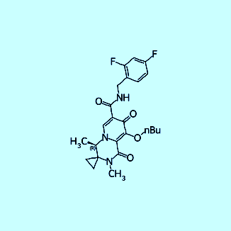 CCCCOc1c2n(cc(C(=O)NCc3ccc(F)cc3F)c1=O)[C@H](C)C1(CC1)N(C)C2=O